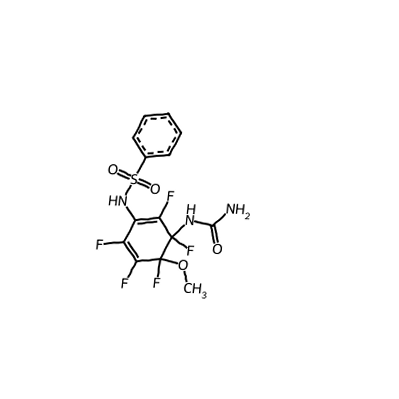 COC1(F)C(F)=C(F)C(NS(=O)(=O)c2ccccc2)=C(F)C1(F)NC(N)=O